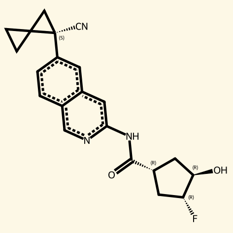 N#C[C@@]1(c2ccc3cnc(NC(=O)[C@@H]4C[C@@H](O)[C@H](F)C4)cc3c2)CC12CC2